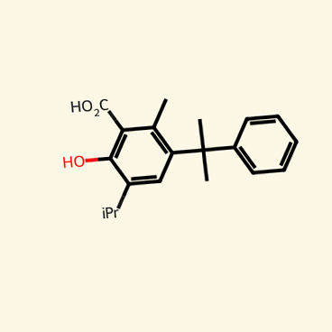 Cc1c(C(C)(C)c2ccccc2)cc(C(C)C)c(O)c1C(=O)O